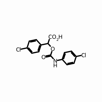 O=C(Nc1ccc(Cl)cc1)OC(C(=O)O)c1ccc(Cl)cc1